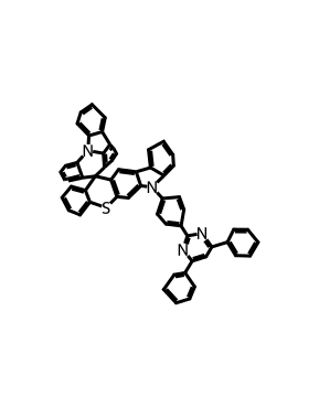 c1ccc(-c2cc(-c3ccccc3)nc(-c3ccc(-n4c5ccccc5c5cc6c(cc54)Sc4ccccc4C64c5ccccc5-n5c6ccccc6c6cccc4c65)cc3)n2)cc1